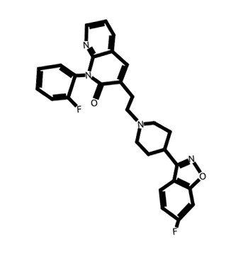 O=c1c(CCN2CCC(c3noc4cc(F)ccc34)CC2)cc2cccnc2n1-c1ccccc1F